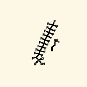 C=CCN.O=S(=O)(O)C(F)C(F)(F)C(F)(F)C(F)(F)C(F)(F)C(F)(F)C(F)(F)C(F)(F)C(F)(F)C(F)(F)F